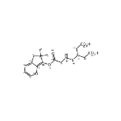 CC1(C)CC2=CC=COC2=C1OC(=O)CNSN(CC(=O)O)CC(=O)O